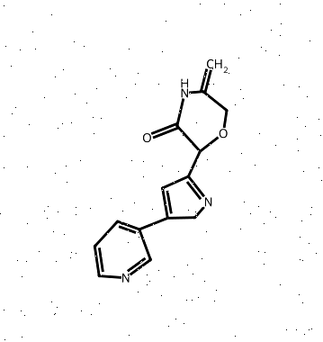 C=C1COC(C2=NCC(c3cccnc3)=C2)C(=O)N1